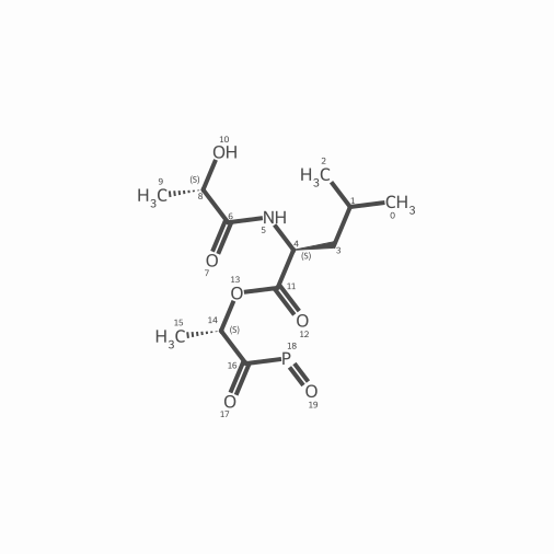 CC(C)C[C@H](NC(=O)[C@H](C)O)C(=O)O[C@@H](C)C(=O)P=O